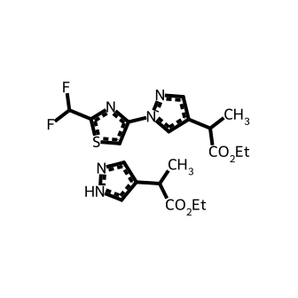 CCOC(=O)C(C)c1cn[nH]c1.CCOC(=O)C(C)c1cnn(-c2csc(C(F)F)n2)c1